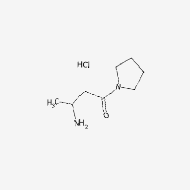 CC(N)CC(=O)N1CCCC1.Cl